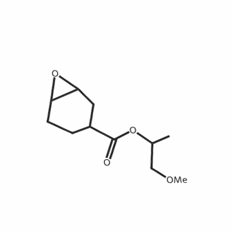 COCC(C)OC(=O)C1CCC2OC2C1